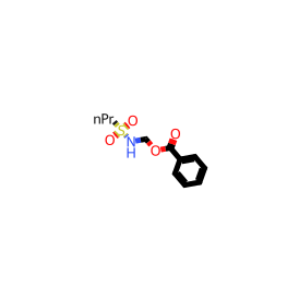 CCCS(=O)(=O)NCOC(=O)c1ccccc1